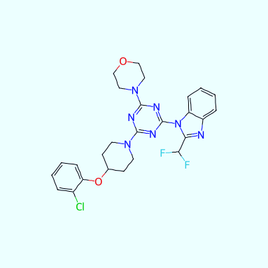 FC(F)c1nc2ccccc2n1-c1nc(N2CCOCC2)nc(N2CCC(Oc3ccccc3Cl)CC2)n1